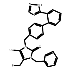 CCCCc1c(CF)n(Cc2ccccc2)c(=O)n1Cc1ccc(-c2ccccc2-c2nnn[nH]2)cc1